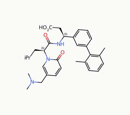 Cc1cccc(C)c1-c1cccc([C@H](CC(=O)O)NC(=O)[C@H](CC(C)C)n2cc(CN(C)C)ccc2=O)c1